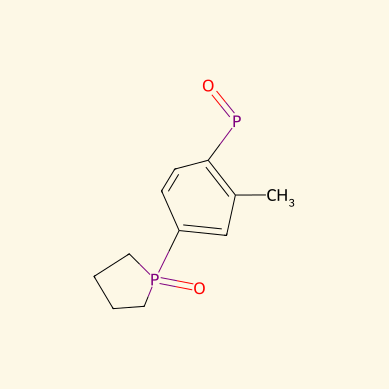 Cc1cc(P2(=O)CCCC2)ccc1P=O